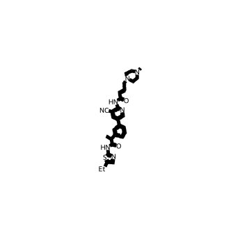 CCc1cnc(NC(=O)C(C)c2cccc(-c3cnc(NC(=O)/C=C/CN4CCN(C)CC4)c(C#N)c3)c2)s1